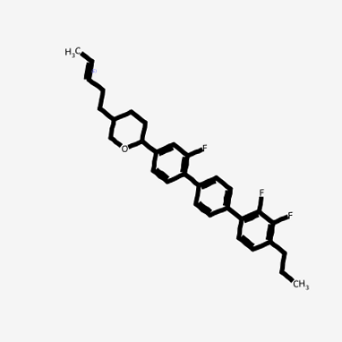 C/C=C/CCC1CCC(c2ccc(-c3ccc(-c4ccc(CCC)c(F)c4F)cc3)c(F)c2)OC1